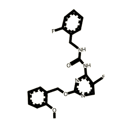 COc1ccccc1COc1ncc(F)c(NC(=O)NCc2ccccc2F)n1